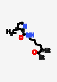 CCC(=O)[C@H](CC)CCCCNC(=O)[C@H]1N=CC[C@@H]1C